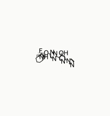 C[C@]12CCCC(C[C@@H](Oc3cnc(-c4cnc(-n5ccnc5)cc4O)nn3)[C@@H]1F)N2